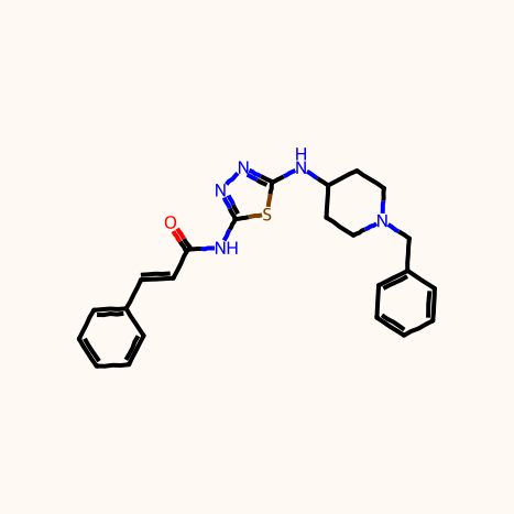 O=C(C=Cc1ccccc1)Nc1nnc(NC2CCN(Cc3ccccc3)CC2)s1